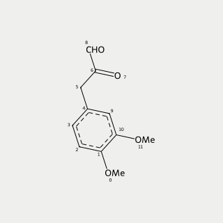 COc1ccc(CC(=O)C=O)cc1OC